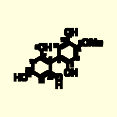 COc1cc(O)c(C2=C(O)[CH]C(O)C=C2O)cc1O